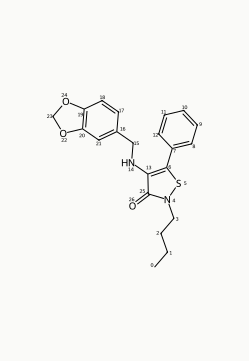 CCCCn1sc(-c2ccccc2)c(NCc2ccc3c(c2)OCO3)c1=O